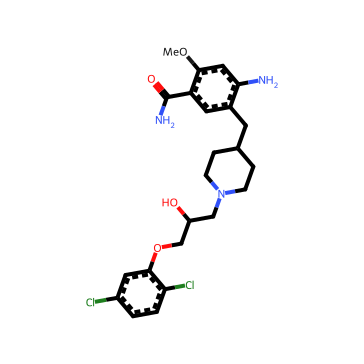 COc1cc(N)c(CC2CCN(CC(O)COc3cc(Cl)ccc3Cl)CC2)cc1C(N)=O